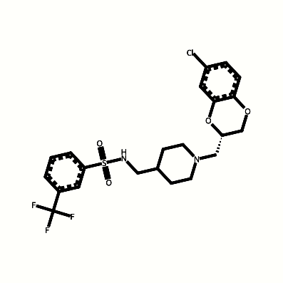 O=S(=O)(NCC1CCN(C[C@H]2COc3ccc(Cl)cc3O2)CC1)c1cccc(C(F)(F)F)c1